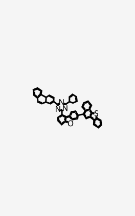 C1=CCC(c2nc(C3=CC4C=Cc5ccccc5C4C=C3)nc(-c3cccc4oc5cc(-c6cc7c8ccccc8sc7c7ccccc67)ccc5c34)n2)C=C1